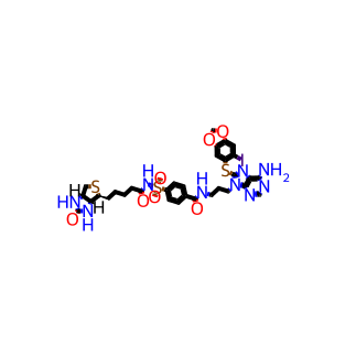 Nc1ncnc2c1nc(Sc1cc3c(cc1I)OCO3)n2CCCNC(=O)c1ccc(S(=O)(=O)NC(=O)CCCC[C@@H]2SC[C@@H]3NC(=O)N[C@@H]32)cc1